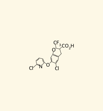 O=C(O)C1Cc2cc(Cl)c(Oc3cccc(Cl)n3)cc2OC1C(F)(F)F